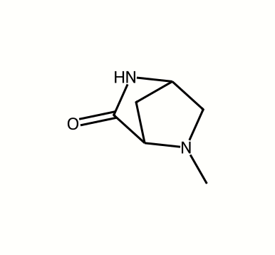 CN1CC2CC1C(=O)N2